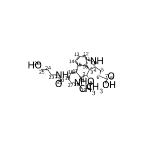 COC1c2c(CCC(=O)O)[nH]c3cccc(c23)C2=C[C@@H](C(=O)NCCCO)CN(C)[C@@H]21